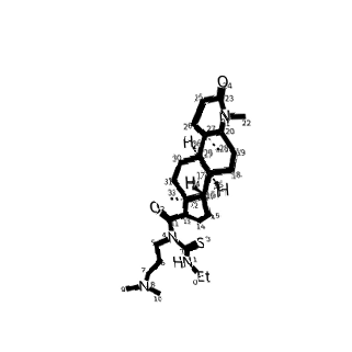 CCNC(=S)N(CCCN(C)C)C(=O)C1CC[C@H]2[C@@H]3CCC4N(C)C(=O)C=C[C@]4(C)[C@@H]3CC[C@]12C